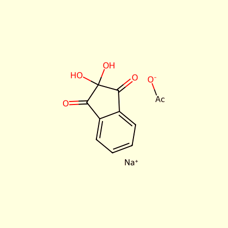 CC(=O)[O-].O=C1c2ccccc2C(=O)C1(O)O.[Na+]